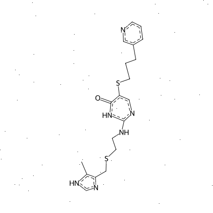 Cc1[nH]cnc1CSCCNc1ncc(SCCCc2cccnc2)c(=O)[nH]1